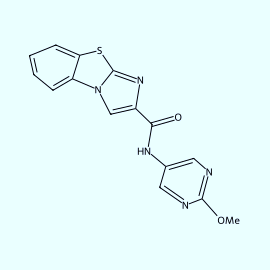 COc1ncc(NC(=O)c2cn3c(n2)sc2ccccc23)cn1